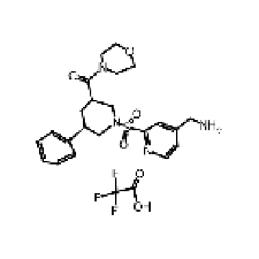 NCc1ccnc(S(=O)(=O)N2C[C@H](C(=O)N3CCOCC3)C[C@H](c3ccccc3)C2)c1.O=C(O)C(F)(F)F